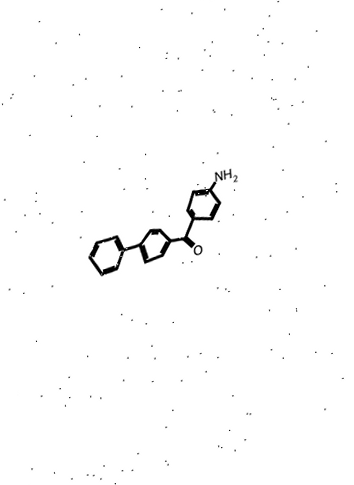 Nc1ccc(C(=O)c2ccc(-c3ccccc3)cc2)cc1